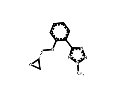 Cn1nnc(-c2ccccc2OC[C@@H]2CO2)n1